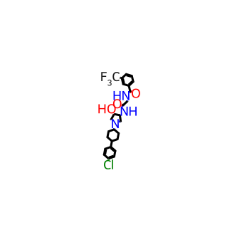 O=C(CNC(=O)c1cccc(C(F)(F)F)c1)NC1CN(C2CCC(c3ccc(Cl)cc3)CC2)CC1O